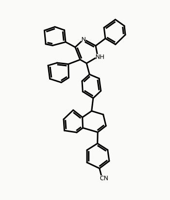 N#Cc1ccc(C2=CCC(c3ccc(C4NC(c5ccccc5)=NC(c5ccccc5)=C4c4ccccc4)cc3)c3ccccc32)cc1